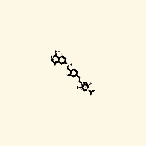 CC(C)N1C[C@H]2C[C@@H]1CN2CCc1ccc(CNc2ccc3c(N)ncc(Cl)c3c2)c(F)c1